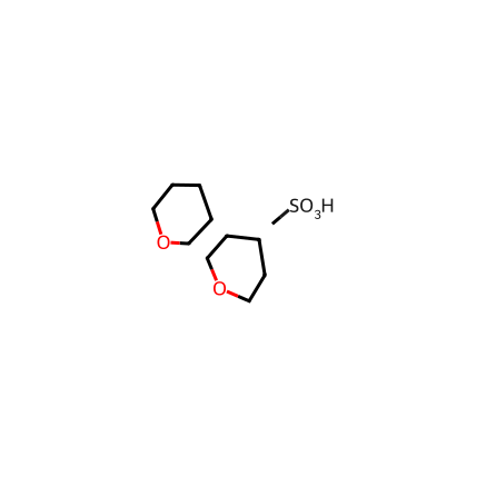 C1CCOCC1.C1CCOCC1.CS(=O)(=O)O